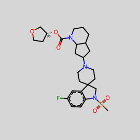 CS(=O)(=O)N1CC2(CCN(C3CC4CCCN(C(=O)O[C@@H]5CCOC5)C4C3)CC2)c2cc(F)ccc21